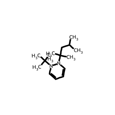 CC(C)CC(C)(C)N1C=CC=CN1C(C)(C)C